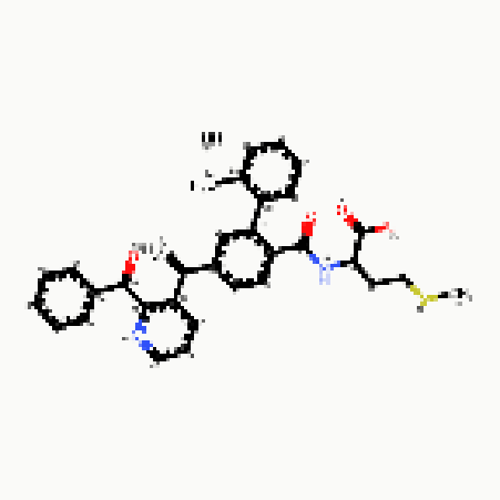 C=C(c1ccc(C(=O)NC(CCSC)C(=O)O)c(-c2ccccc2C)c1)c1cccnc1C(=O)c1ccccc1.[LiH]